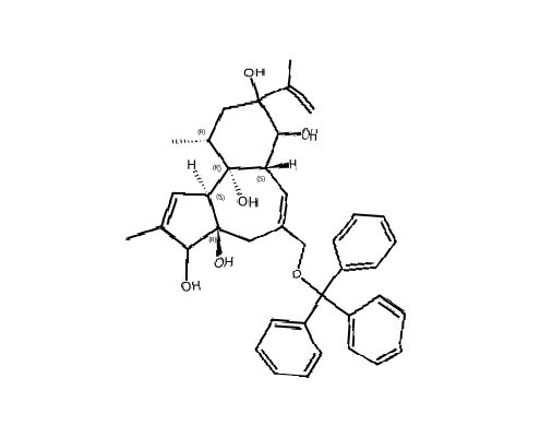 C=C(C)C1(O)C[C@@H](C)[C@@]2(O)[C@@H](C=C(COC(c3ccccc3)(c3ccccc3)c3ccccc3)C[C@]3(O)C(O)C(C)=C[C@@H]23)C1O